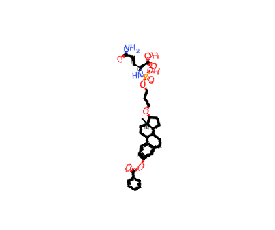 C[C@]12CCC3c4ccc(OC(=O)c5ccccc5)cc4CCC3C1CCC2OCCCOP(=O)(O)N[C@@H](CCC(N)=O)C(=O)O